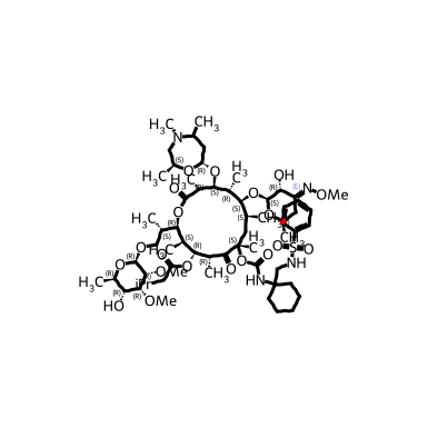 CO/N=C1\C[C@@H](C)O[C@@H](O[C@@H]2[C@@H](C)[C@H](O[C@H]3CC(C)N(C)C[C@H](C)O3)[C@@H](C)C(=O)O[C@H]([C@@H](C)CO[C@@H]3O[C@H](C)[C@@H](O)[C@@H](OC)[C@H]3OC)[C@H](C)[C@@H](OC(=O)CC(C)C)[C@@H](C)C(=O)[C@@](C)(OC(=O)NC3(CNS(=O)(=O)c4ccccc4)CCCCC3)C[C@@H]2C)[C@@H]1O